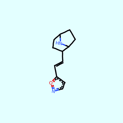 C(=CC1CCC2CCC1N2)c1ccno1